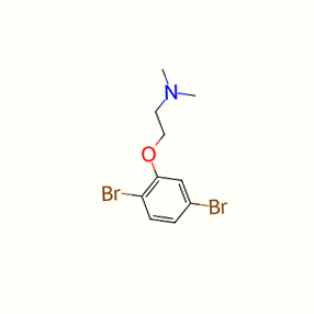 CN(C)CCOc1cc(Br)ccc1Br